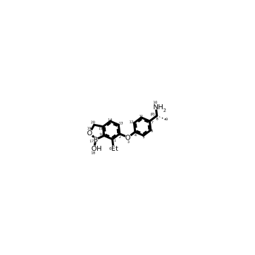 CCc1c(Oc2ccc([C@@H](C)N)cc2)ccc2c1B(O)OC2